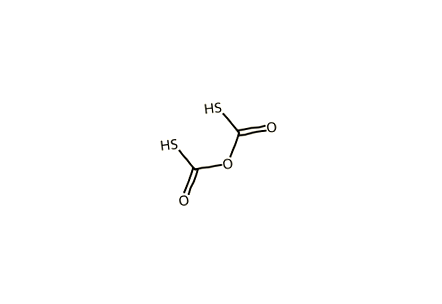 O=C(S)OC(=O)S